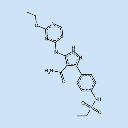 CCOc1nccc(Nc2[nH]nc(-c3ccc(NS(=O)(=O)CC)cc3)c2C(N)=O)n1